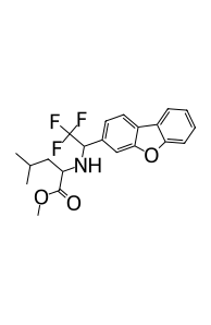 COC(=O)C(CC(C)C)NC(c1ccc2c(c1)oc1ccccc12)C(F)(F)F